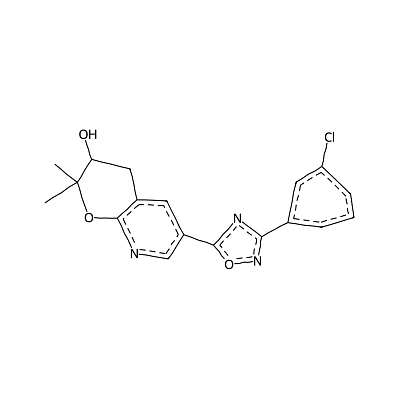 CC1(C)Oc2ncc(-c3nc(-c4cccc(Cl)c4)no3)cc2CC1O